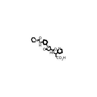 O=C(O)CC(NC(=O)C1CC(=O)N(c2cccc(NC(=O)N3CCCCC3)c2)C1)c1cccnc1